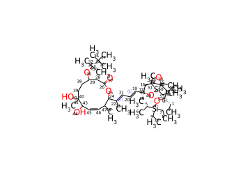 CC[C@H](O[Si](CC)(CC)CC)[C@@H](C)[C@H]1O[C@@H]1C[C@](C)(/C=C/C=C(\C)C1OC(=O)CC(O[Si](C)(C)C(C)(C)C)CCC(C)(O)C(O)C=CC1C)O[Si](CC)(CC)CC